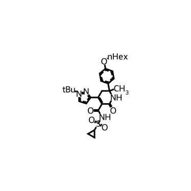 CCCCCCOc1ccc(C2(C)CC(c3ccn(C(C)(C)C)n3)=C(C(=O)NS(=O)(=O)C3CC3)C(=O)N2)cc1